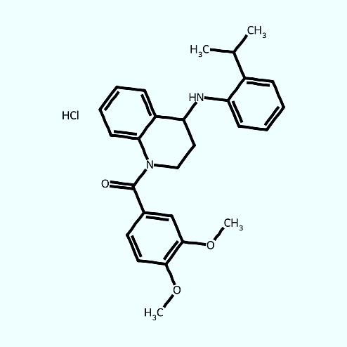 COc1ccc(C(=O)N2CCC(Nc3ccccc3C(C)C)c3ccccc32)cc1OC.Cl